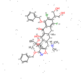 CN(C)[C@@H]1c2onc(OCc3ccccc3)c2C(=O)[C@@]2(O[Si](C)(C)C(C)(C)C)C(O)=C3C(=O)c4c(c(F)c(C(CO)CO)c(Br)c4OCc4ccccc4)C[C@H]3C[C@@H]12